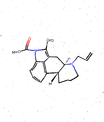 C=CCN1CCC[C@@H]2c3cccc4c3c(c(C=O)n4C(=O)OC)C[C@H]21